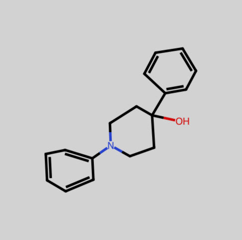 OC1(c2ccccc2)CCN(c2ccccc2)CC1